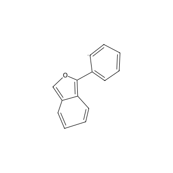 [c]1ccccc1-c1occ2ccccc12